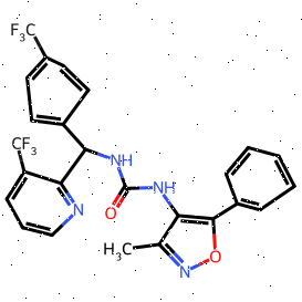 Cc1noc(-c2ccccc2)c1NC(=O)NC(c1ccc(C(F)(F)F)cc1)c1ncccc1C(F)(F)F